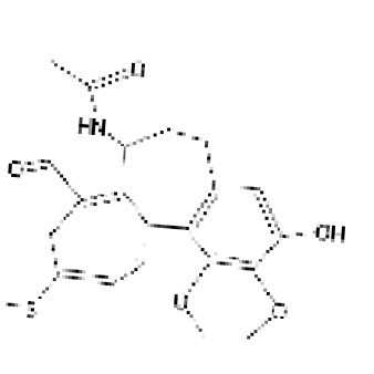 COc1c(O)cc2c(c1OC)C1=CC=C(SC)CC(C=O)=C1C(NC(C)=O)CC2